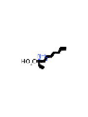 C=CCCCCCC(N)(C=C)C(=O)O